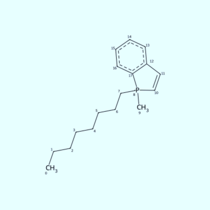 CCCCCCCC[P]1(C)C=Cc2ccccc21